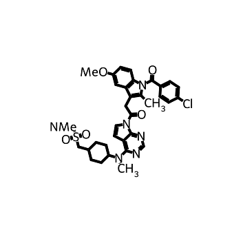 CNS(=O)(=O)CC1CCC(N(C)c2ncnc3c2ccn3C(=O)Cc2c(C)n(C(=O)c3ccc(Cl)cc3)c3ccc(OC)cc23)CC1